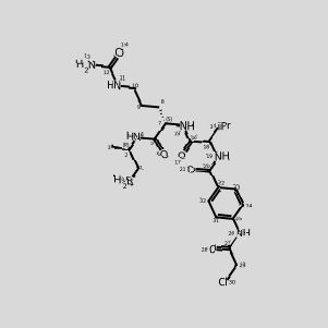 BC[C@@H](C)NC(=O)[C@H](CCCNC(N)=O)NC(=O)C(NC(=O)c1ccc(NC(=O)CCl)cc1)C(C)C